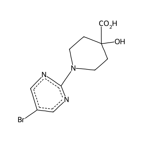 O=C(O)C1(O)CCN(c2ncc(Br)cn2)CC1